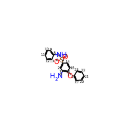 Nc1cc(S(=O)(=O)Nc2ccccc2)ccc1Oc1ccccc1